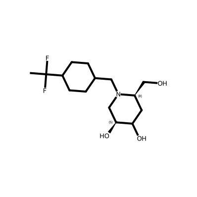 CC(F)(F)C1CCC(CN2C[C@H](O)C(O)C[C@@H]2CO)CC1